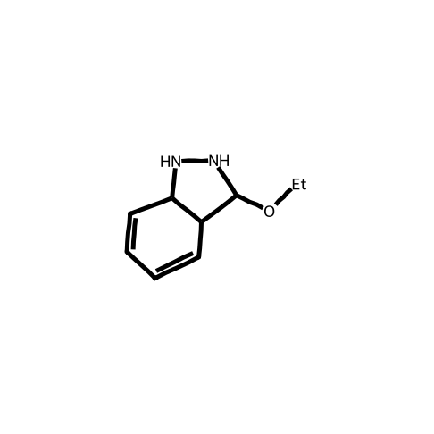 CCOC1NNC2C=CC=CC21